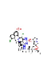 C#Cc1c(F)ccc2cc(O)cc(-c3nc4c5c(nc(OC[C@]67CCCN6C[C@H](OC(C(F)(F)F)(C(F)(F)F)C(F)(F)F)C7)nc5c3F)N3C[C@H]5CC[C@H](N5)[C@H]3CC4)c12